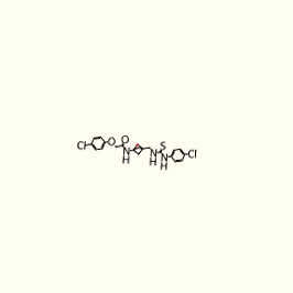 O=C(COc1ccc(Cl)cc1)NC12CC(CNC(=S)Nc3ccc(Cl)cc3)(C1)C2